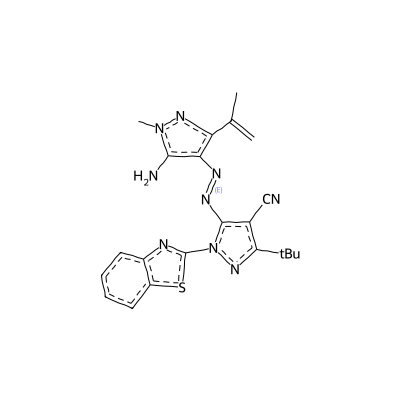 C=C(C)c1nn(C)c(N)c1/N=N/c1c(C#N)c(C(C)(C)C)nn1-c1nc2ccccc2s1